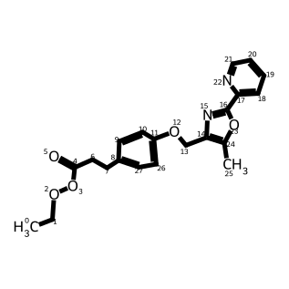 CCOOC(=O)CCc1ccc(OCc2nc(-c3ccccn3)oc2C)cc1